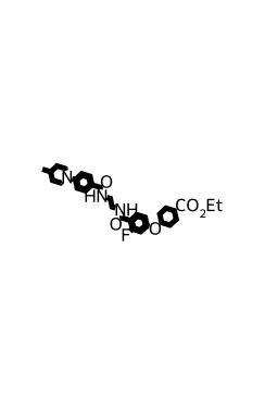 CCOC(=O)[C@H]1CC[C@@H](Oc2ccc(C(=O)NCCNC(=O)c3ccc(N4CCC(C)CC4)cc3)c(F)c2)CC1